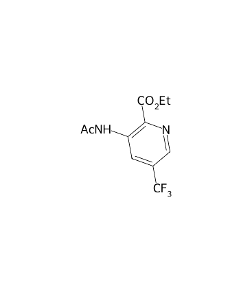 CCOC(=O)c1ncc(C(F)(F)F)cc1NC(C)=O